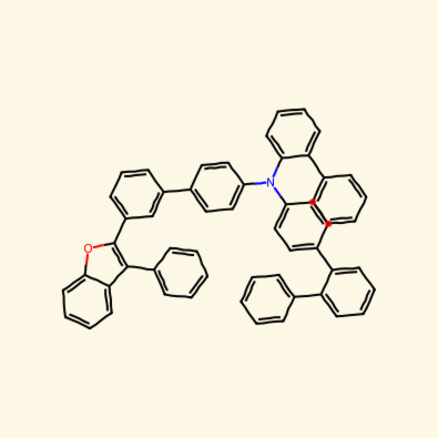 c1ccc(-c2ccccc2-c2ccc(N(c3ccc(-c4cccc(-c5oc6ccccc6c5-c5ccccc5)c4)cc3)c3ccccc3-c3ccccc3)cc2)cc1